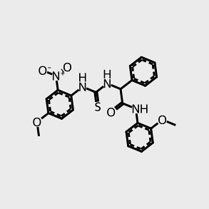 COc1ccc(NC(=S)NC(C(=O)Nc2ccccc2OC)c2ccccc2)c([N+](=O)[O-])c1